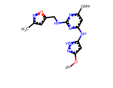 COc1cc(Nc2cc(OC(C)C)n[nH]2)nc(NCc2cc(C)no2)n1